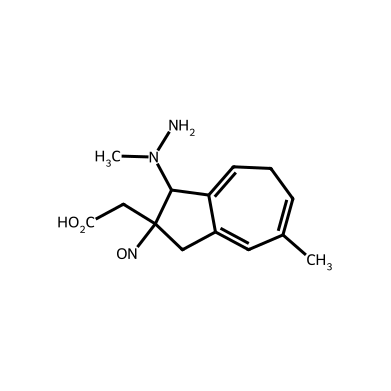 CC1=CCC=C2C(=C1)CC(CC(=O)O)(N=O)C2N(C)N